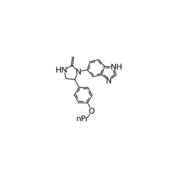 C=C1NCC(c2ccc(OCCC)cc2)N1c1ccc2[nH]cnc2c1